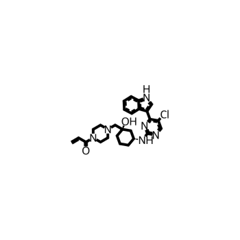 C=CC(=O)N1CCN(C[C@@]2(O)CCC[C@@H](Nc3ncc(Cl)c(-c4c[nH]c5ccccc45)n3)C2)CC1